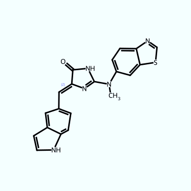 CN(C1=N/C(=C\c2ccc3[nH]ccc3c2)C(=O)N1)c1ccc2ncsc2c1